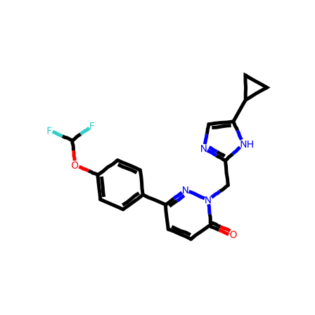 O=c1ccc(-c2ccc(OC(F)F)cc2)nn1Cc1ncc(C2CC2)[nH]1